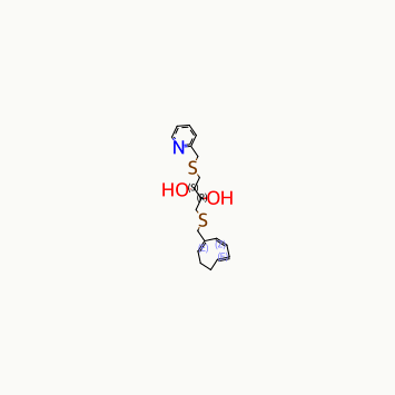 O[C@H](CSCc1ccccn1)[C@@H](O)CSCC1=C/CC/C=C/C=C\1